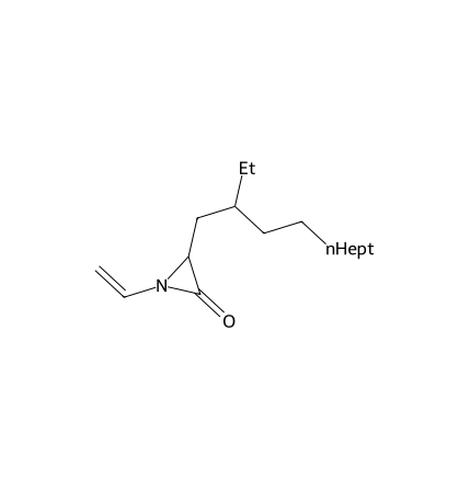 C=CN1C(=O)C1CC(CC)CCCCCCCCC